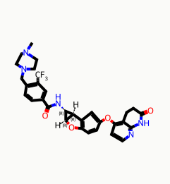 CN1CCN(Cc2ccc(C(=O)N[C@H]3[C@@H]4Oc5ccc(Oc6ccnc7c6CCC(=O)N7)cc5[C@H]34)cc2C(F)(F)F)CC1